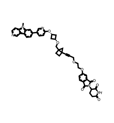 Cn1c2ccncc2c2ccc(-c3ccc(O[C@H]4C[C@H](OCC56CCC5(C#CCOCCOc5ccc7c(c5)C(=O)N(C5CCC(=O)NC5=O)C7=O)C6)C4)nc3)cc21